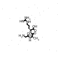 C[C@H](NC(=O)CN)C(=O)N[C@@H](CCCNC(=N)N)C(=O)O